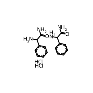 Cl.Cl.NC(=O)C(N)c1ccccc1.NC(=O)C(N)c1ccccc1